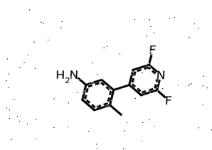 Cc1ccc(N)cc1-c1cc(F)nc(F)c1